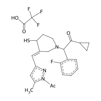 CC(=O)n1nc(/C=C2\CN(C(C(=O)C3CC3)c3ccccc3F)CCC2S)cc1C.O=C(O)C(F)(F)F